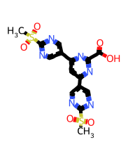 CS(=O)(=O)c1ncc(-c2cc(-c3cnc(S(C)(=O)=O)nc3)nc(C(=O)O)n2)cn1